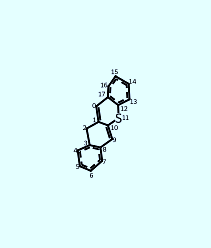 C1=C2Cc3ccccc3C=C2Sc2ccccc21